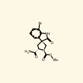 CC(C)(C)OC(=O)N1C[C@]2(C[C@H]1C(N)=O)C(=O)Nc1c(Br)cccc12